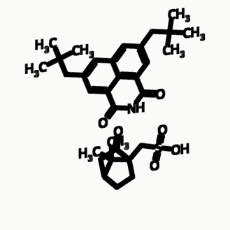 CC(C)(C)Cc1cc2c3c(cc(CC(C)(C)C)cc3c1)C(=O)NC2=O.CC1(C)C2CCC1(CS(=O)(=O)O)C(=O)C2